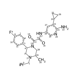 CC(C)CN1CC(c2ccc(F)cc2)N(C(=O)C(=O)Nc2cnc(N)c(C3CC3)c2)CC1C